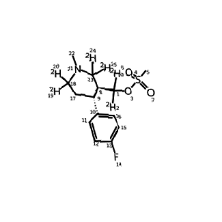 [2H]C([2H])(OS(C)(=O)=O)[C@H]1[C@H](c2ccc(F)cc2)CC([2H])([2H])N(C)C1([2H])[2H]